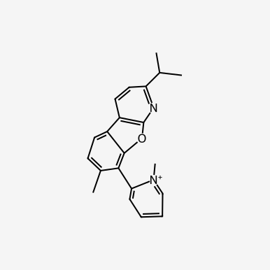 Cc1ccc2c(oc3nc(C(C)C)ccc32)c1-c1cccc[n+]1C